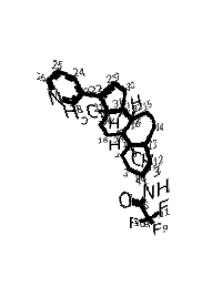 C[C@]12CC[C@@H](NC(=O)C(F)(F)F)CC1CC[C@@H]1[C@@H]2CC[C@]2(C)C(c3cccnc3)=CC[C@@H]12